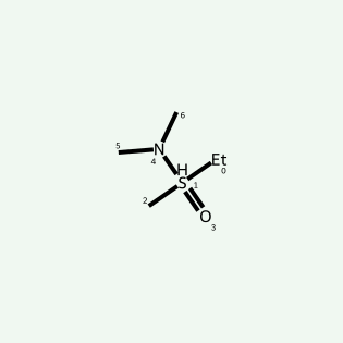 CC[SH](C)(=O)N(C)C